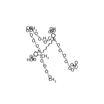 COCCOCCOCCOCCN1c2ccc(S(=O)(=O)O)cc2C(C)(CCOCCOCCOCCOC)C1/C=C/C=C/C=C/C=C1/N(CCOCCOCCOCCOCCC(=O)ON2C(=O)CCC2=O)c2ccc(S(=O)(=O)O)cc2C1(C)CCOCCOCCOCCOC